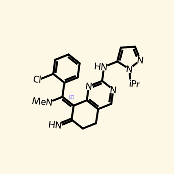 CN/C(=C1\C(=N)CCc2cnc(Nc3ccnn3C(C)C)nc21)c1ccccc1Cl